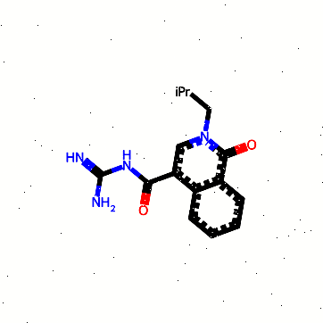 CC(C)Cn1cc(C(=O)NC(=N)N)c2ccccc2c1=O